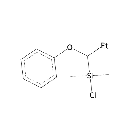 CCC(Oc1ccccc1)[Si](C)(C)Cl